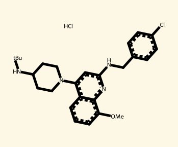 COc1cccc2c(N3CCC(NC(C)(C)C)CC3)cc(NCc3ccc(Cl)cc3)nc12.Cl